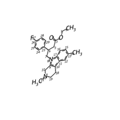 CCOC(=O)CC(Cn1c2c(c3cc(C)ccc31)CCN(C)C2)c1ccc(F)cc1